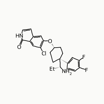 CC[C@@H](N)[C@]1(c2ccc(F)c(F)c2)CC[C@@H](Oc2cc3cc[nH]c(=O)c3cc2Cl)CC1